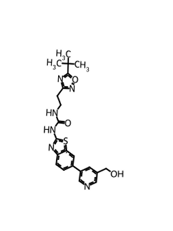 CC(C)(C)c1nc(CCNC(=O)Nc2nc3ccc(-c4cncc(CO)c4)cc3s2)no1